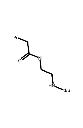 CC(C)CC(=O)NCCNC(C)(C)C